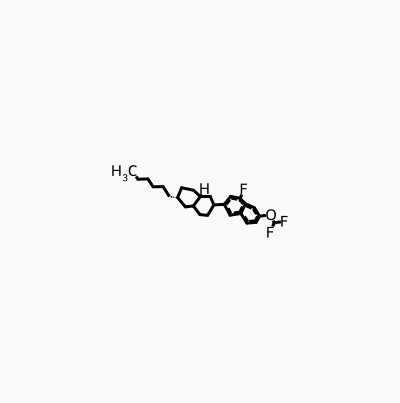 CCCCCC[C@@H]1CC[C@@H]2CC(c3cc(F)c4cc(OC(F)F)ccc4c3)CCC2C1